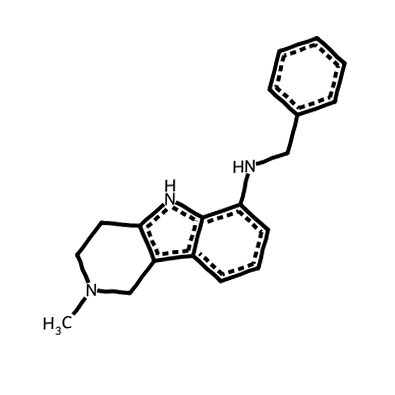 CN1CCc2[nH]c3c(NCc4ccccc4)cccc3c2C1